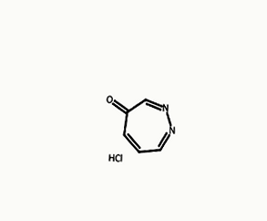 Cl.O=c1cccnnc1